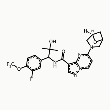 CC(C)(O)C(NC(=O)c1cnn2ccc(N3CC4C[C@H](C3)O4)nc12)c1ccc(OC(F)(F)F)c(F)c1